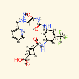 O=C([N-]c1c[n+](Cc2ccccn2)no1)Nc1cc(NC(=O)C23CC(C(=O)O)(C2)C3)cc(C(F)(F)F)c1